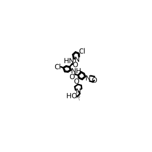 C[C@H](O)CN1CCC(Oc2cc(N3CCOCC3)ccc2C(=O)Nc2ccc(Cl)cc2C(=O)Nc2ccc(Cl)cn2)CC1